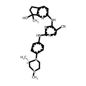 C[C@H]1CN(C)CCN1c1ccc(Nc2ncc(C#N)c(Nc3ccc4c(n3)C(C)(O)CC4)n2)cc1